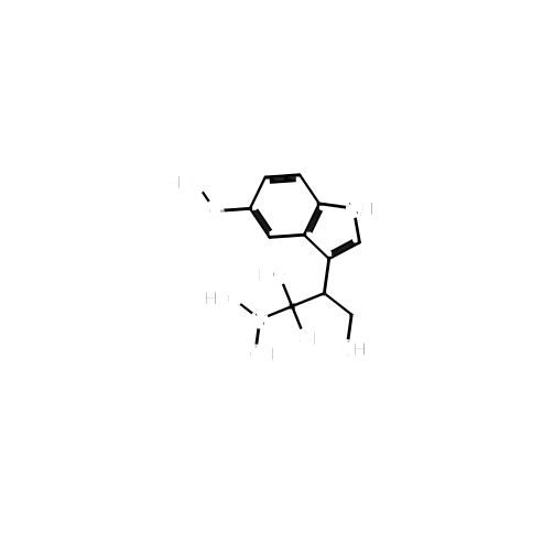 CCC(c1c[nH]c2ccc(OC)cc12)C(O)(O)N(C)C